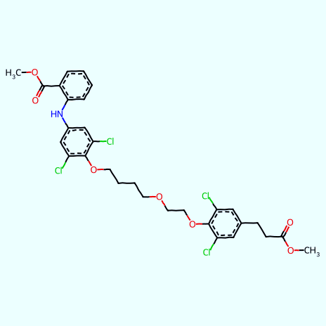 COC(=O)CCc1cc(Cl)c(OCCOCCCCOc2c(Cl)cc(Nc3ccccc3C(=O)OC)cc2Cl)c(Cl)c1